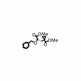 COC(=O)[C@H](CC1(C(=O)OC)CC1)OCc1ccccc1